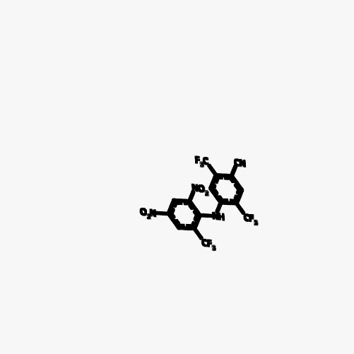 N#Cc1cc(C(F)(F)F)c(Nc2c([N+](=O)[O-])cc([N+](=O)[O-])cc2C(F)(F)F)cc1C(F)(F)F